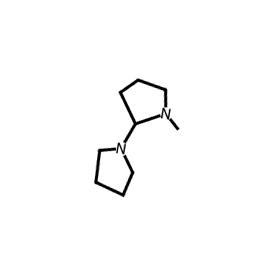 CN1CCCC1N1CCCC1